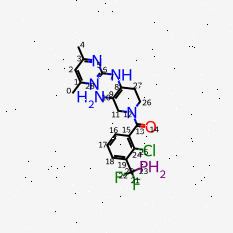 Cc1cc(C)nc(NC2=C(N)CN(C(=O)c3cccc(C(F)(F)P)c3Cl)CC2)n1